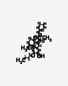 CCCCOc1cc2c(cc1O)C[C@H](N(CC)C(=O)OCc1ccccc1)C1CCCC[C@@]21CC